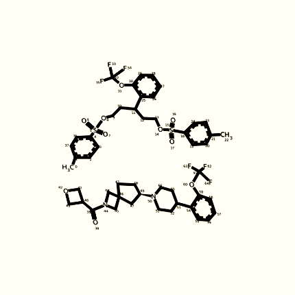 Cc1ccc(S(=O)(=O)OCCC(CCOS(=O)(=O)c2ccc(C)cc2)c2ccccc2OC(F)(F)F)cc1.O=C(C1COC1)N1CC2(CC[C@@H](N3CCC(c4ccccc4OC(F)(F)F)CC3)C2)C1